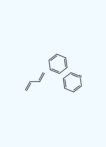 C=CC=C.c1ccccc1.c1ccncc1